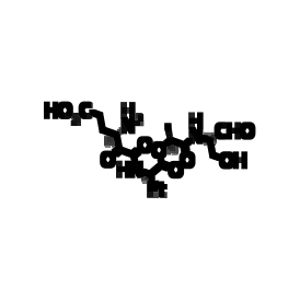 CC[C@@H](NC(=O)C(=O)[C@@H](N)CCC(=O)O)C(=O)O[C@@H](C)C(=O)N[C@H](C=O)CO